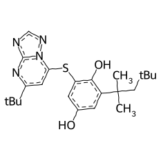 CC(C)(C)CC(C)(C)c1cc(O)cc(Sc2cc(C(C)(C)C)nc3ncnn23)c1O